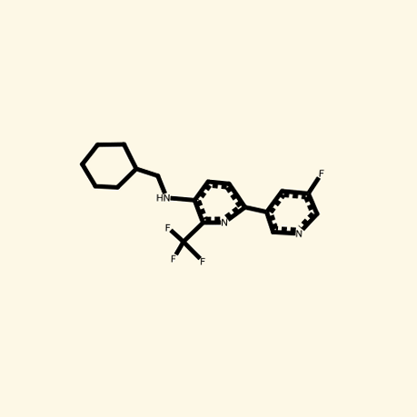 Fc1cncc(-c2ccc(NCC3CCCCC3)c(C(F)(F)F)n2)c1